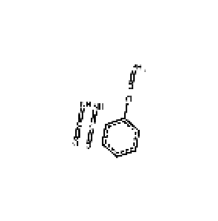 Clc1ccccc1.N=C=O.N=C=O.O=[PH3]